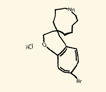 Brc1ccc2c(c1)OCC21CCNCC1.Cl